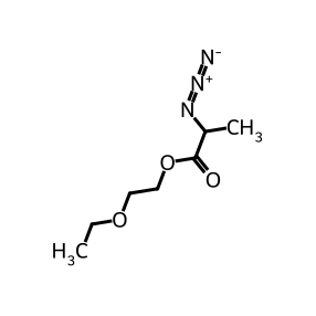 CCOCCOC(=O)C(C)N=[N+]=[N-]